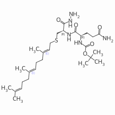 CC(C)=CCC/C(C)=C/CC/C(C)=C/CSC[C@H](NC(=O)[C@@H](CCC(N)=O)NC(=O)OC(C)(C)C)C(=O)NN